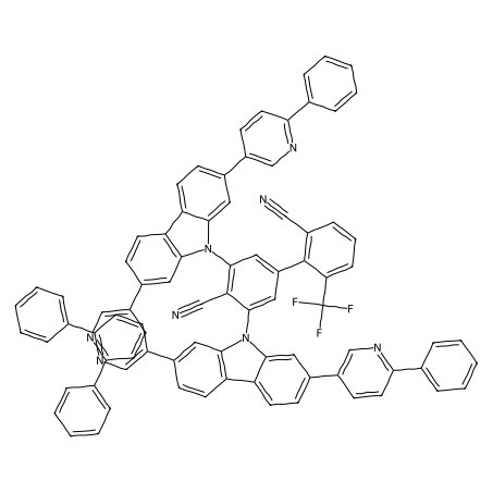 N#Cc1cccc(C(F)(F)F)c1-c1cc(-n2c3cc(-c4ccc(-c5ccccc5)nc4)ccc3c3ccc(-c4ccc(-c5ccccc5)nc4)cc32)c(C#N)c(-n2c3cc(-c4ccc(-c5ccccc5)nc4)ccc3c3ccc(-c4ccc(-c5ccccc5)nc4)cc32)c1